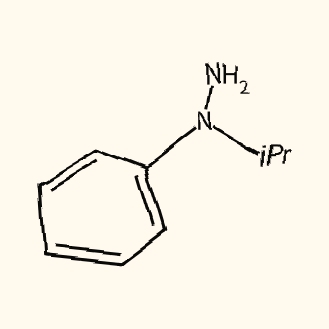 CC(C)N(N)c1ccccc1